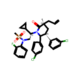 C=CC[C@@]1(C)C[C@H](c2cccc(Cl)c2)C(c2ccc(Cl)cc2)N([C@H](CN(c2ccccc2F)S(C)(=O)=O)C2CC2)C1=O